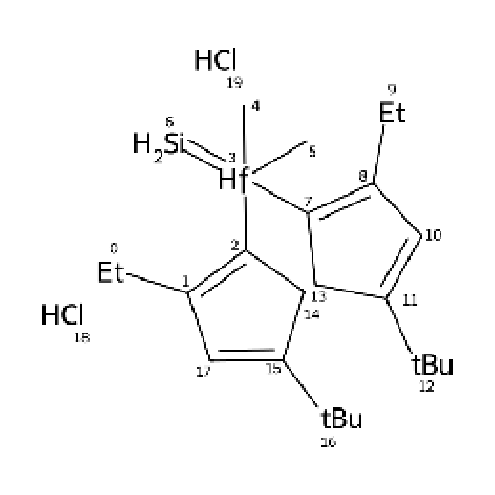 CCC1=[C]([Hf]([CH3])([CH3])(=[SiH2])[C]2=C(CC)C=C(C(C)(C)C)C2)CC(C(C)(C)C)=C1.Cl.Cl